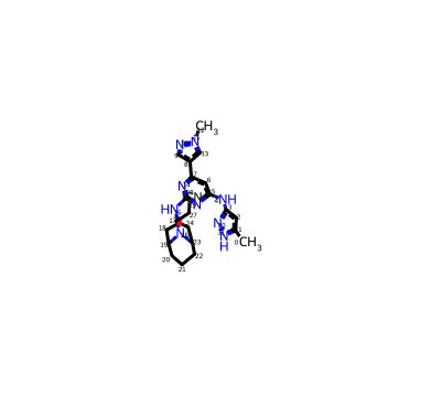 Cc1cc(Nc2cc(-c3cnn(C)c3)nc(NC3CC4CCCC(C3)N4CCC#N)n2)n[nH]1